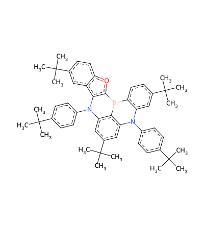 CC(C)(C)c1ccc(N2c3cc(C(C)(C)C)ccc3B3c4oc5ccc(C(C)(C)C)cc5c4N(c4ccc(C(C)(C)C)cc4)c4cc(C(C)(C)C)cc2c43)cc1